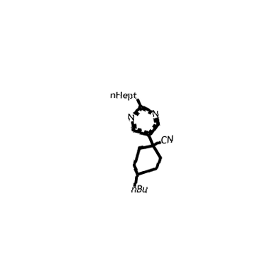 CCCCCCCc1ncc(C2(C#N)CCC(CCCC)CC2)cn1